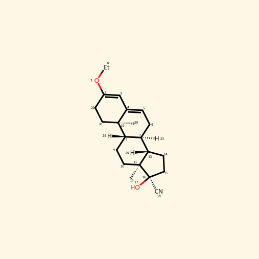 CCOC1=CC2=CC[C@@H]3[C@H](CC[C@@]4(C)[C@H]3CC[C@]4(O)C#N)[C@@]2(C)CC1